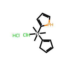 Cl.Cl.[CH3][Zr]([CH3])([CH3])([CH3])([C]1=CC=CC1)[c]1ccc[pH]1